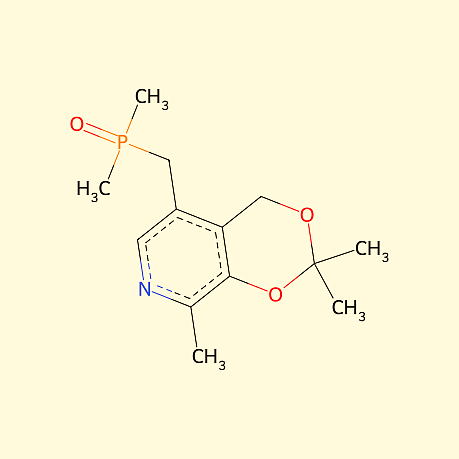 Cc1ncc(CP(C)(C)=O)c2c1OC(C)(C)OC2